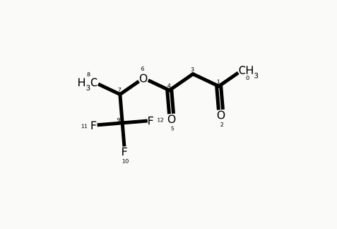 CC(=O)CC(=O)OC(C)C(F)(F)F